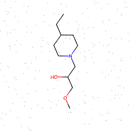 CCC1CCN(CC(O)COC)CC1